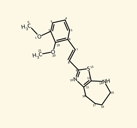 COc1cccc(C=Cc2nc3c(s2)NCCCC3)c1OC